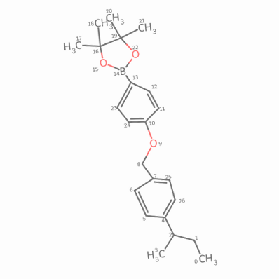 CCC(C)c1ccc(COc2ccc(B3OC(C)(C)C(C)(C)O3)cc2)cc1